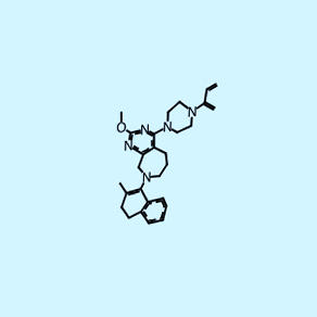 C=CC(=C)N1CCN(c2nc(OC)nc3c2CCCN(C2=C(C)CCc4ccccc42)C3)CC1